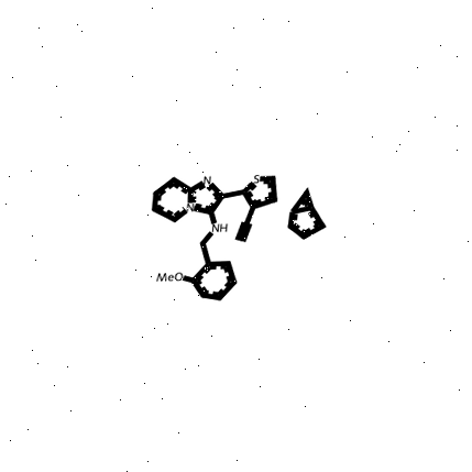 C#Cc1ccsc1-c1nc2ccccn2c1NCc1ccccc1OC.c1cc2cc-2c1